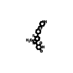 Cn1nc(C2CCC(=O)NC2=O)c2ccc(C3CCN(CC4(F)CCNCC4)CC3)c(F)c21